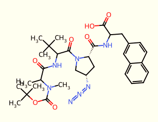 CC(C(=O)NC(C(=O)N1C[C@@H](N=[N+]=[N-])C[C@H]1C(=O)NC(Cc1ccc2ccccc2c1)C(=O)O)C(C)(C)C)N(C)C(=O)OC(C)(C)C